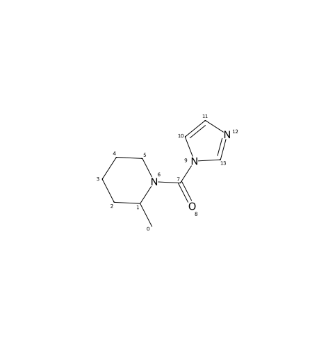 CC1CCCCN1C(=O)n1ccnc1